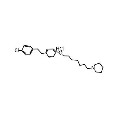 Cl.Clc1ccc(CCc2ccc(OCCCCCCCN3CCCCC3)cc2)cc1